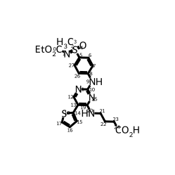 CCOC(=O)N=S(C)(=O)c1ccc(Nc2ncc(-c3cccs3)c(NCCCC(=O)O)n2)cc1